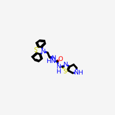 O=C(NN=CCN1c2ccccc2Sc2ccccc21)Nc1nc2c(s1)CNCC2